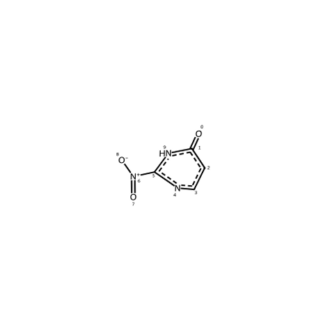 O=c1ccnc([N+](=O)[O-])[nH]1